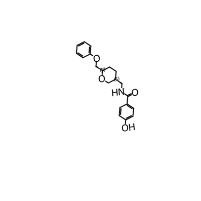 O=C(NC[C@@H]1CC[C@H](COc2ccccc2)OC1)c1ccc(O)cc1